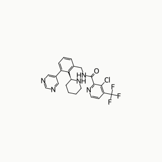 O=C(NCc1cccc(-c2cncnc2)c1[C@@H]1CCCCN1)c1nccc(C(F)(F)F)c1Cl